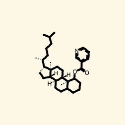 CC(C)CCC[C@@H](C)[C@H]1CC[C@H]2[C@@H]3CCC4CCCC(OC(=O)c5cccnc5)[C@]4(C)[C@H]3CC[C@]12C